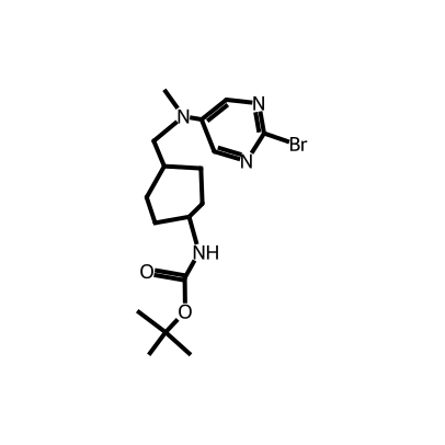 CN(CC1CCC(NC(=O)OC(C)(C)C)CC1)c1cnc(Br)nc1